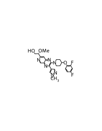 CO[C@@H](CO)c1cc2nc(N3CCC(Oc4ccc(F)cc4F)CC3)c(-c3cnn(C)c3)nc2cn1